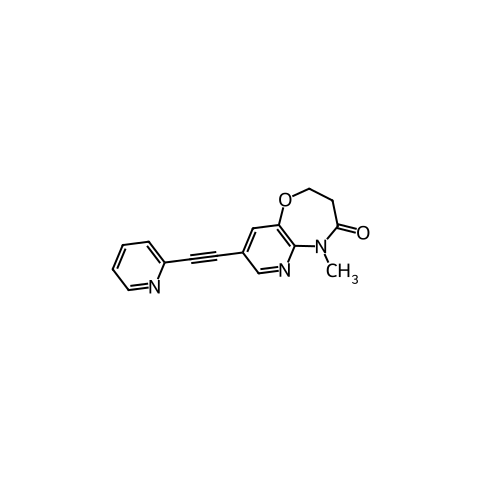 CN1C(=O)CCOc2cc(C#Cc3ccccn3)cnc21